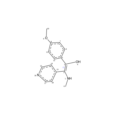 CN/C(=C(\O)c1ccc(OC)cc1)c1ccncc1